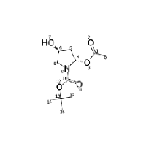 CC(=O)O[C@H]1C[C@H](O)CN1C(=O)OC(C)(C)C